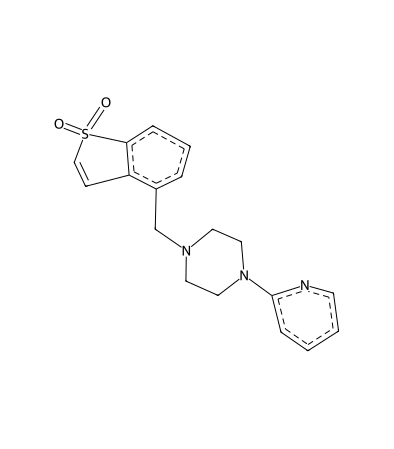 O=S1(=O)C=Cc2c(CN3CCN(c4ccccn4)CC3)cccc21